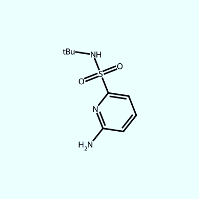 CC(C)(C)NS(=O)(=O)c1cccc(N)n1